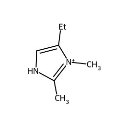 CCc1c[nH]c(C)[n+]1C